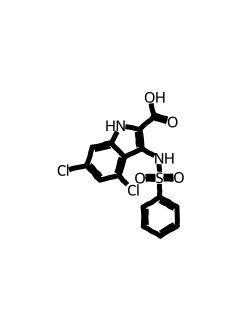 O=C(O)c1[nH]c2cc(Cl)cc(Cl)c2c1NS(=O)(=O)c1ccccc1